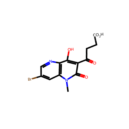 Cn1c(=O)c(C(=O)CCC(=O)O)c(O)c2ncc(Br)cc21